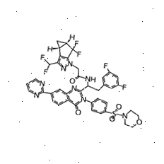 O=C(Cn1nc(C(F)F)c2c1C(F)(F)[C@H]1C[C@@H]21)NC(Cc1cc(F)cc(F)c1)c1nc2cc(-c3ncccn3)ccc2c(=O)n1-c1ccc(S(=O)(=O)N2CCOCC2)cc1